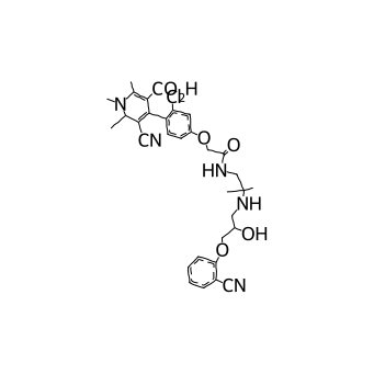 CC1=C(C(=O)O)C(c2ccc(OCC(=O)NCC(C)(C)NCC(O)COc3ccccc3C#N)cc2Cl)=C(C#N)C(C)N1C